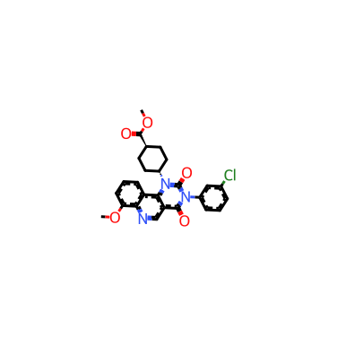 COc1cccc2c1ncc1c(=O)n(-c3cccc(Cl)c3)c(=O)n([C@H]3CC[C@H](C(=O)OC)CC3)c12